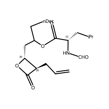 C=CC[C@H]1C(=O)O[C@@H]1CC(CCCCCCCCCCC)OC(=O)[C@H](CC(C)C)NC=O